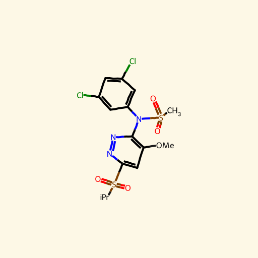 COc1cc(S(=O)(=O)C(C)C)nnc1N(c1cc(Cl)cc(Cl)c1)S(C)(=O)=O